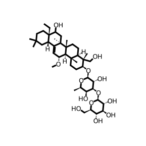 CC[C@]12CCC(C)(C)C[C@H]1C1=C[C@@H](OC)[C@@H]3[C@@]4(C)CC[C@H](O[C@@H]5O[C@H](C)[C@H](O)[C@H](O[C@@H]6O[C@H](CO)[C@@H](O)[C@H](O)[C@H]6O)[C@H]5O)[C@@](C)(CO)[C@@H]4CC[C@@]3(C)[C@]1(C)CC2O